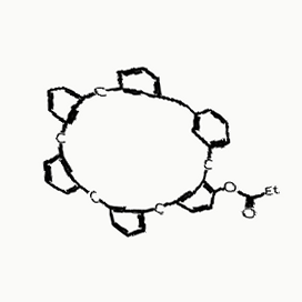 CCC(=O)Oc1ccc2cc1Cc1cccc(c1)Cc1cccc(c1)Cc1cccc(c1)Cc1cccc(c1)Cc1cccc(c1)C2